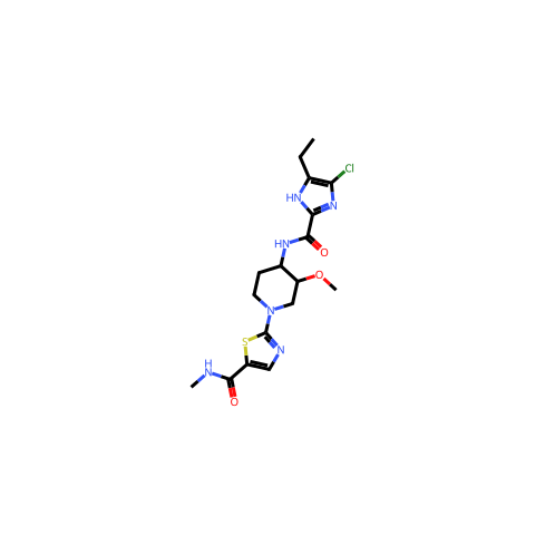 CCc1[nH]c(C(=O)NC2CCN(c3ncc(C(=O)NC)s3)CC2OC)nc1Cl